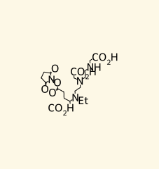 CCN(CCN(CCNCC(=O)O)CC(=O)O)C(CCC(=O)ON1C(=O)CCC1=O)C(=O)O